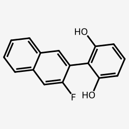 Oc1cccc(O)c1-c1cc2ccccc2cc1F